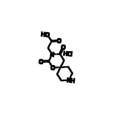 Cl.O=C(O)CN1C(=O)CC2(CCNCC2)OC1=O